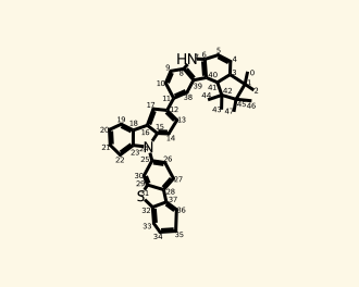 CC1(C)C2C=Cc3[nH]c4ccc(-c5ccc6c(c5)c5ccccc5n6-c5ccc6c(c5)sc5ccccc56)cc4c3C2C(C)(C)C1(C)C